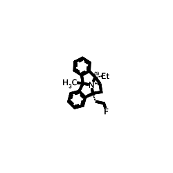 CC[C@]12c3ccccc3C3(C)c4ccccc4[C@]4(CCF)CC1[N+]342